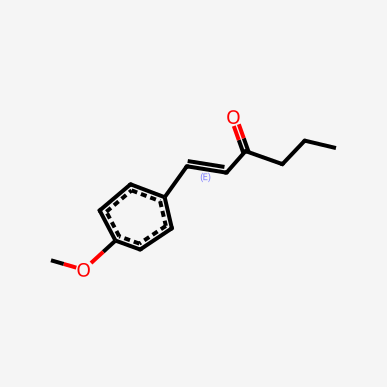 CCCC(=O)/C=C/c1ccc(OC)cc1